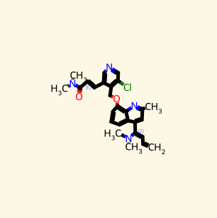 C=C/C=C(/c1cc(C)nc2c(OCc3c(Cl)cncc3/C=C/C(=O)N(C)C)cccc12)N(C)C